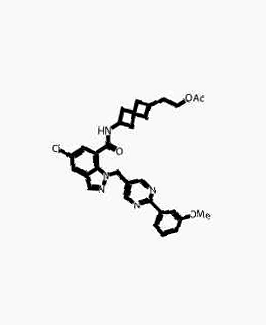 COc1cccc(-c2ncc(Cn3ncc4cc(Cl)cc(C(=O)NC5CC6(CC(CCOC(C)=O)C6)C5)c43)cn2)c1